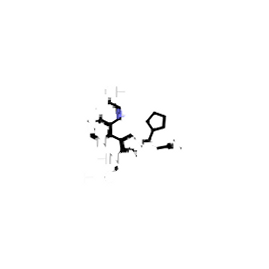 CC/C=C\c1c(C)ncnc1-c1cn([C@@H](CC#N)C2CCCC2)nc1NCC